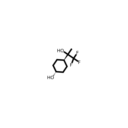 CC(O)([C@H]1CC[C@H](O)CC1)C(F)(F)F